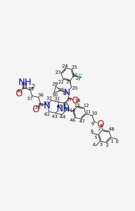 Cc1cc(C)c(C)c(OCCc2ccc(C3=C(C(=O)N(Cc4ccccc4F)C4CC4)C4CN(C(=O)CCCC(N)=O)CC(C3)N4)cc2)c1